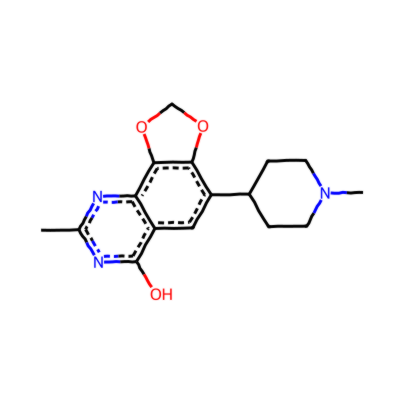 Cc1nc(O)c2cc(C3CCN(C)CC3)c3c(c2n1)OCO3